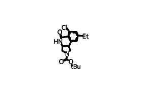 CCc1cc(Cl)c2c(c1)C1CN(C(=O)OC(C)(C)C)CC1NC2=O